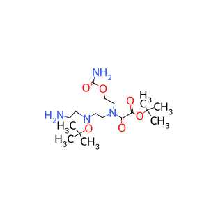 CC(C)(C)OC(=O)C(=O)N(CCOC(N)=O)CCN(CCN)OC(C)(C)C